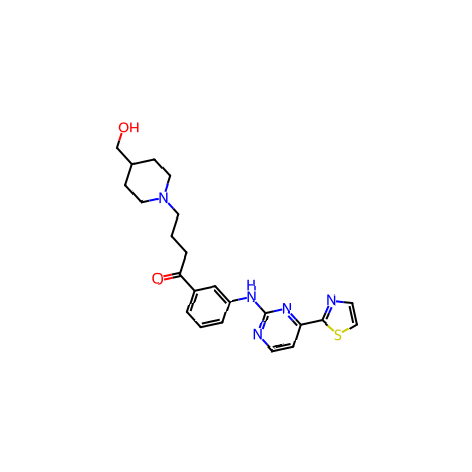 O=C(CCCN1CCC(CO)CC1)c1cccc(Nc2nccc(-c3nccs3)n2)c1